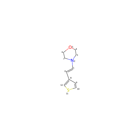 C(=CN1CCOCC1)c1ccsc1